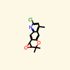 Cc1cc(Cl)nc2cc3c(cc12)OC(C)(C)C1OC31